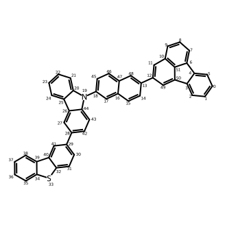 c1ccc2c(c1)-c1cccc3cc(-c4ccc5cc(-n6c7ccccc7c7cc(-c8ccc9sc%10ccccc%10c9c8)ccc76)ccc5c4)cc-2c13